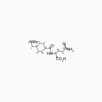 CNCC1CCC(C(=O)NC(CCC(N)=O)C(=O)O)CC1